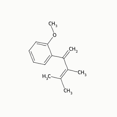 C=C(C(C)=C(C)C)c1ccccc1OC